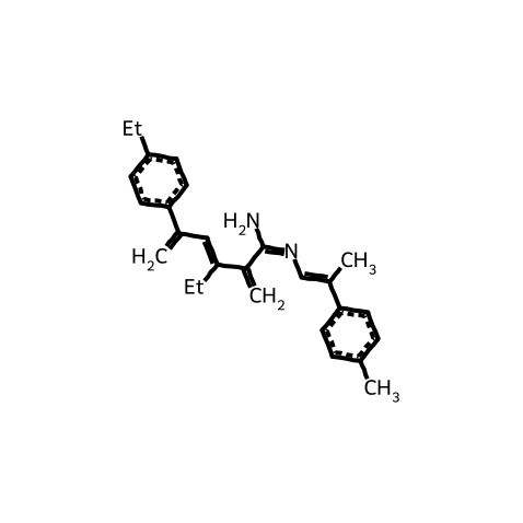 C=C(/C(=C/C(=C)c1ccc(CC)cc1)CC)/C(N)=N\C=C(/C)c1ccc(C)cc1